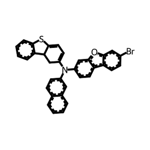 Brc1ccc2c(c1)oc1cc(N(C3=CC=C4Sc5ccccc5C4C3)c3ccc4ccccc4c3)ccc12